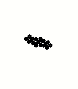 Cc1ccccc1-c1cccc2c1oc1c(N(c3ccccc3)c3ccc4c5cccc6c7c(-c8ccccc8)c8c(c(-c9ccccc9)c7n(c4c3)c56)c3cccc4c5ccc(N(c6ccccc6)c6cccc7c6oc6c(-c9ccccc9C)cccc67)cc5n8c43)cccc12